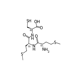 CSCC[C@H](NC(=O)[C@@H](N)CCSC)C(=O)N[C@@H](CS)C(=O)O